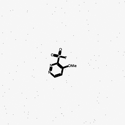 COc1ccnnc1S(=O)(=O)F